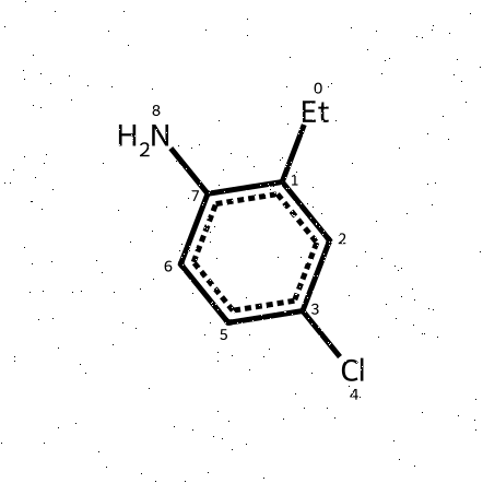 CCc1cc(Cl)ccc1N